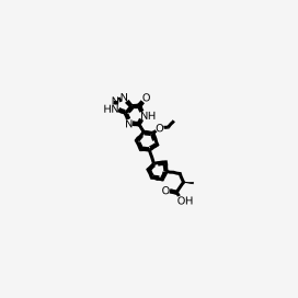 CCOc1cc(-c2cccc(C[C@@H](C)C(=O)O)c2)ccc1-c1nc2[nH]nnc2c(=O)[nH]1